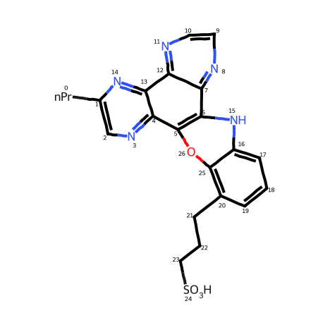 CCCc1cnc2c3c(c4nccnc4c2n1)Nc1cccc(CCCS(=O)(=O)O)c1O3